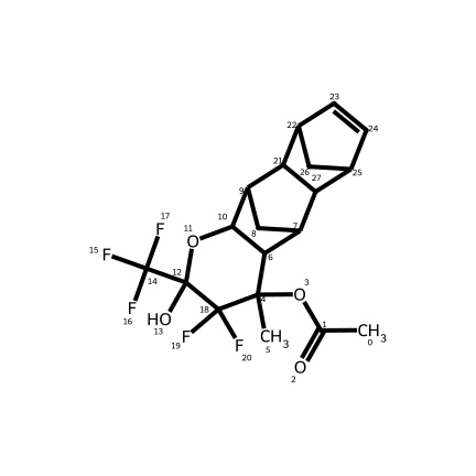 CC(=O)OC1(C)C2C3CC(C2OC(O)(C(F)(F)F)C1(F)F)C1C2C=CC(C2)C31